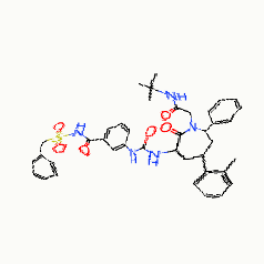 Cc1ccccc1C1CC(NC(=O)Nc2cccc(C(=O)NS(=O)(=O)Cc3ccccc3)c2)C(=O)N(CC(=O)NC(C)(C)C)C(c2ccccc2)C1